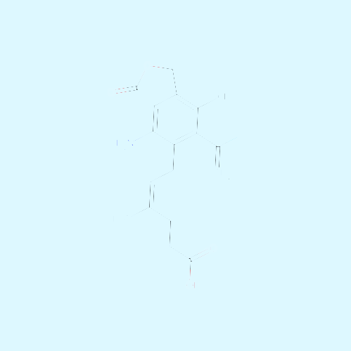 C=C(F)c1c(C)c2c(c(N)c1CC=C(C)CCC(=O)O)C(=O)OC2